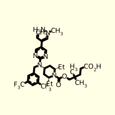 C=C/C(=C\N(C)N)c1cnc(N(Cc2cc(C(F)(F)F)cc(C(F)(F)F)c2)[C@H]2C[C@@H](CC)N(C(=O)OCC(C)(C)CCC(=O)O)[C@@H](CC)C2)nc1